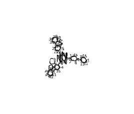 Clc1c(-c2nc(-c3ccc(-c4ccccc4)cc3)nc(-c3ccc4c(c3)sc3ccccc34)n2)ccc2c1oc1ccccc12